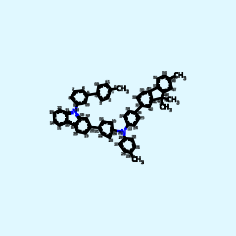 Cc1ccc(-c2cccc(-n3c4ccccc4c4ccc(-c5ccc(N(c6ccc(C)cc6)c6ccc(-c7ccc8c(c7)C(C)(C)c7cc(C)ccc7-8)cc6)cc5)cc43)c2)cc1